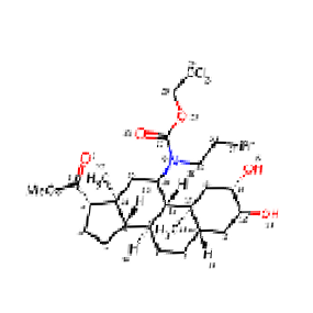 COC(=O)[C@H]1CC[C@H]2[C@@H]3CC[C@H]4C[C@H](O)[C@@H](O)C[C@]4(C)[C@H]3[C@H](N(CCC(C)C)C(=O)OCC(Cl)(Cl)Cl)C[C@]12C